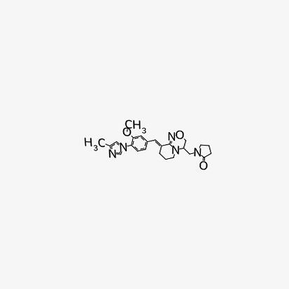 COc1cc(/C=C2\CCCN3C2=NOCC3CN2CCCC2=O)ccc1-n1cnc(C)c1